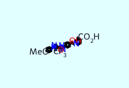 COc1ccc(-n2ncc(-c3nc(-c4ccc(C(O)CN5CCCC(CC(=O)O)C5)cc4)no3)c2C(F)(F)F)cc1